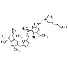 COc1nc(NCCN(C)CCCCCO)nc(OC)c1NC(=O)c1ccc(Cc2cc3c(cc2C)C(C)(C)OC3(C)C)o1